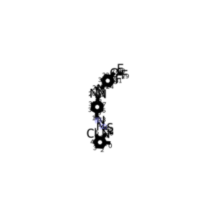 Cc1cccc(Cl)c1N1CS/C1=N\N=C\c1ccc(-c2ncn(-c3ccc(OC(F)(F)F)cc3)n2)cc1